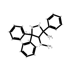 COC1C(C)(c2ccccc2)SSC1(c1ccccc1)c1ccccc1